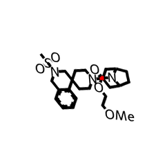 COCCOC(=O)N1C2CCC1CC(N1CCC3(CC1)CN(S(C)(=O)=O)Cc1ccccc13)C2